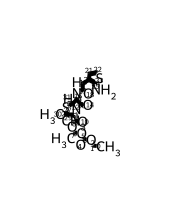 CCOC(=O)OC(C)OC(=O)[C@@H]1N2C(=O)[C@@H](NC(=O)Cc3ccsc3N)[C@H]2SC1(C)C